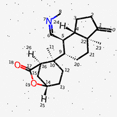 C=C1CC[C@H]2[C@H](/C=N\C)[C@@H]([C@@]3(C)CC[C@H]4C[C@H]3C(=O)O4)CC[C@]12C